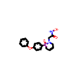 O=C(CN1CC=CCP1(=O)c1ccc(Oc2ccccc2)cc1)NO